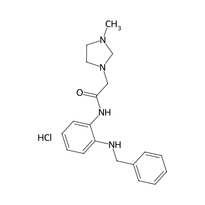 CN1CCN(CC(=O)Nc2ccccc2NCc2ccccc2)C1.Cl